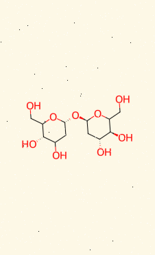 OCC1O[C@H](O[C@@H]2C[C@@H](O)[C@H](O)C(CO)O2)CC(O)[C@@H]1O